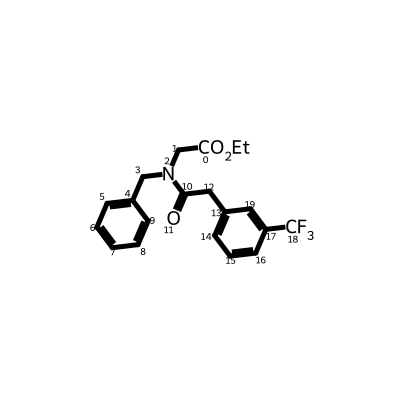 CCOC(=O)CN(Cc1ccccc1)C(=O)Cc1cccc(C(F)(F)F)c1